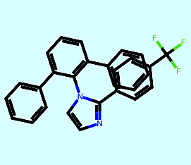 FC(F)(F)c1ccc(-c2nccn2-c2c(-c3ccccc3)cccc2-c2ccccc2)cc1